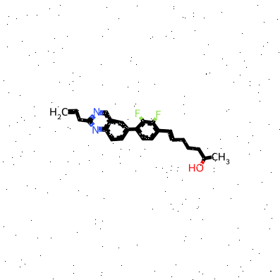 C=CCc1ncc2cc(-c3ccc(C=CCCCC(C)O)c(F)c3F)ccc2n1